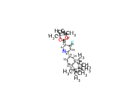 CC1(C)OB(c2cnc(-c3ccc4c(c3)C(C)(C)C(C)(C)C4(C)C)cc2F)OC1(C)C